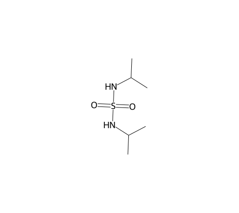 CC(C)NS(=O)(=O)NC(C)C